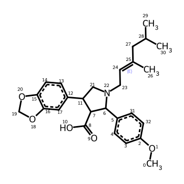 COc1ccc(C2C(C(=O)O)C(c3ccc4c(c3)OCO4)CN2C/C=C(\C)CC(C)C)cc1